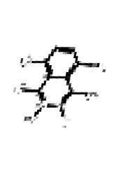 Nc1ccc(N)c2c(N)[n+]([O-])[n+]([O-])c(N)c12